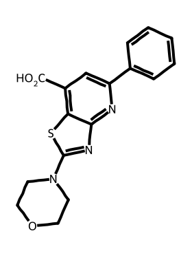 O=C(O)c1cc(-c2ccccc2)nc2nc(N3CCOCC3)sc12